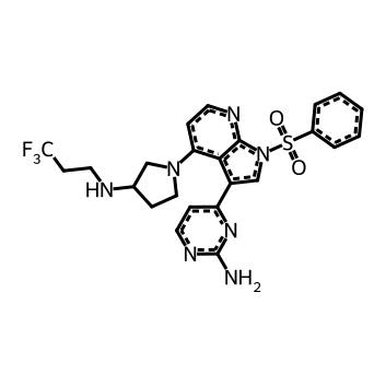 Nc1nccc(-c2cn(S(=O)(=O)c3ccccc3)c3nccc(N4CCC(NCCC(F)(F)F)C4)c23)n1